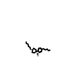 CCCCCC[C@H]1CC[C@@](C#N)(c2ccc(CCCCC)cc2)CC1